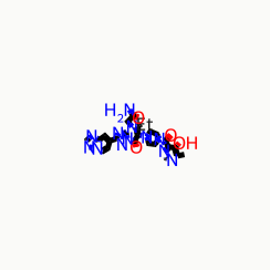 CCc1c(N2CCN(C(=O)c3ncnc(C)c3O)CC2)c(=O)n2nc(-c3ccn4ncnc4c3)nc2n1CC(N)=O